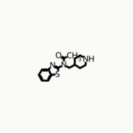 CC(=O)N(CC1CCNCC1)c1nc2ccccc2s1